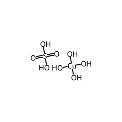 O=S(=O)(O)O.[OH][Cu]([OH])([OH])[OH]